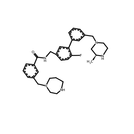 C[C@H]1CN(Cc2cccc(-c3cc(CNC(=O)c4cccc(CN5CCCNCC5)c4)ccc3F)c2)CCN1